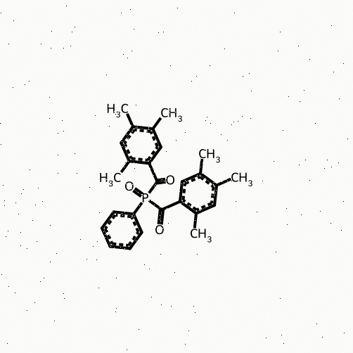 Cc1cc(C)c(C(=O)P(=O)(C(=O)c2cc(C)c(C)cc2C)c2ccccc2)cc1C